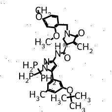 C=C1C(=O)N(Cc2ccc(OC)cc2OC)C[C@@H]1C(=O)Nc1cc(-c2cc(C)cc(OC(C)(C)C)c2)n(C(P)(P)P)n1